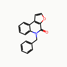 O=c1c2occc2c2ccccc2n1Cc1ccccc1